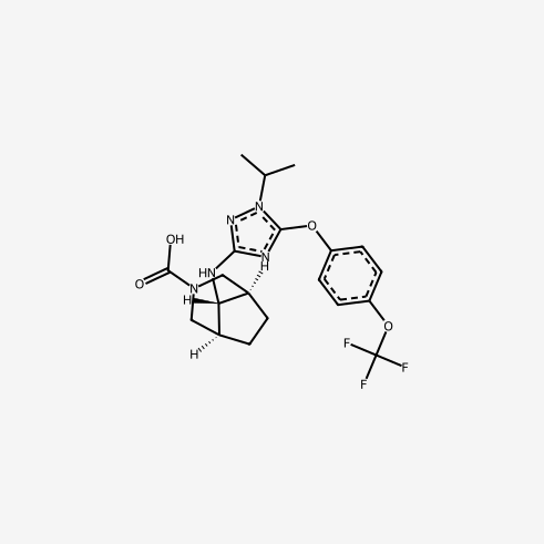 CC(C)n1nc(N[C@@H]2[C@@H]3CC[C@H]2CN(C(=O)O)C3)nc1Oc1ccc(OC(F)(F)F)cc1